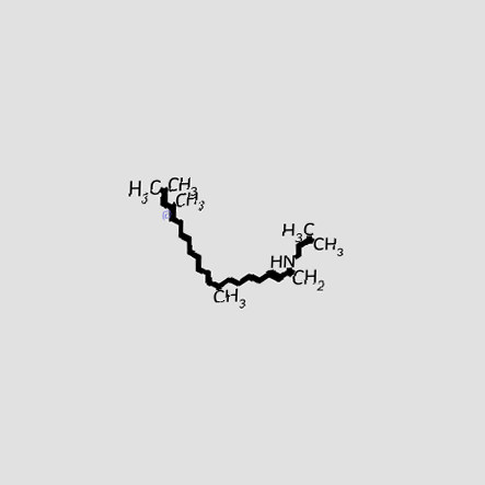 C=C(C=CCCCCC(C)CCCCCCCC/C=C(\C)C=C(C)C)NCC=C(C)C